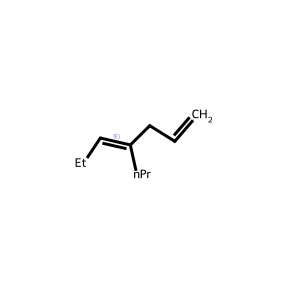 C=CC/C(=C/CC)CCC